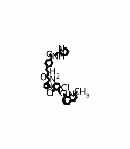 Cc1ccc2cccc(OCc3c(Cl)ccc(-n4cccc4C(N)C(=O)CCc4ccc(C(=O)NCc5ccccn5)cc4)c3Cl)c2n1